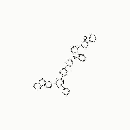 c1ccc(-c2nc(-c3ccc4c(c3)Cc3cc(-n5c6ccccc6c6c(-c7ccc8c(c7)oc7ccccc78)cccc65)ccc3-4)nc(-c3ccc4c(ccc5ccccc54)c3)n2)cc1